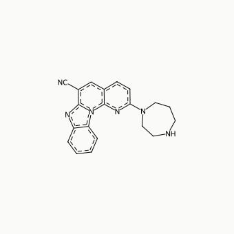 N#Cc1cc2ccc(N3CCCNCC3)nc2n2c1nc1ccccc12